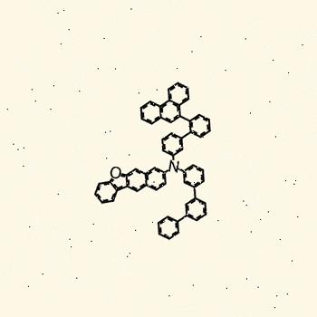 c1ccc(-c2cccc(-c3cccc(N(c4cccc(-c5ccccc5-c5cc6ccccc6c6ccccc56)c4)c4ccc5cc6c(cc5c4)oc4ccccc46)c3)c2)cc1